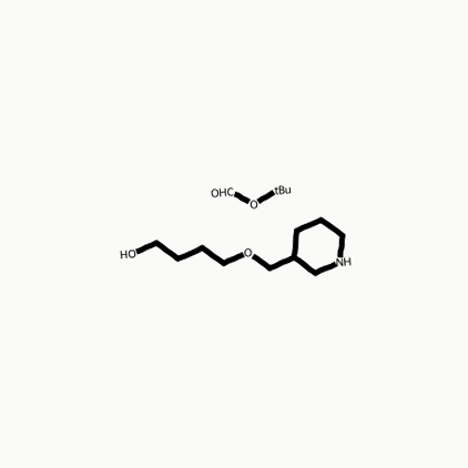 CC(C)(C)OC=O.OCCCCOCC1CCCNC1